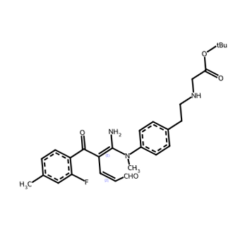 Cc1ccc(C(=O)C(/C=C\C=O)=C(\N)N(C)c2ccc(CCNCC(=O)OC(C)(C)C)cc2)c(F)c1